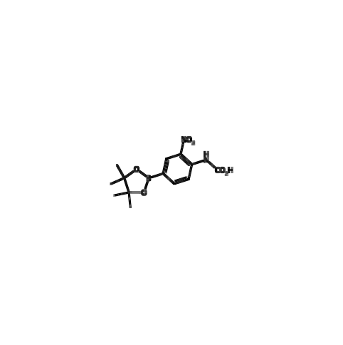 CC1(C)OB(c2ccc(NC(=O)O)c([N+](=O)[O-])c2)OC1(C)C